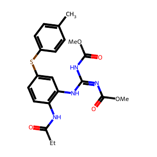 CCC(=O)Nc1ccc(Sc2ccc(C)cc2)cc1NC(=NC(=O)OC)NC(=O)OC